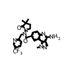 Cn1ncc2c(N)nc3ccc(C(=O)N(Cc4ccc(C(F)(F)F)cn4)N4CCC(C)(C)C4=O)cc3c21